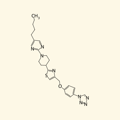 CCCCCc1cnc(N2CCC(c3nc(COc4ccc(-n5cnnn5)cc4)cs3)CC2)nc1